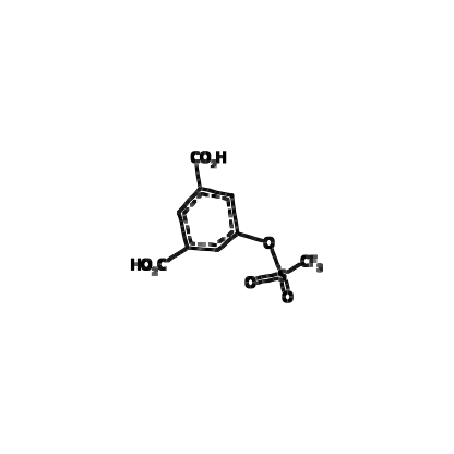 O=C(O)c1cc(OS(=O)(=O)C(F)(F)F)cc(C(=O)O)c1